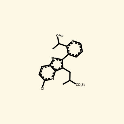 CCOC(=O)C(C)Cc1c(-c2cccnc2C(C)OC)[nH]c2ccc(Cl)nc12